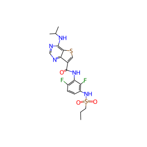 CCCS(=O)(=O)Nc1ccc(F)c(NC(=O)c2csc3c(NC(C)C)ncnc23)c1F